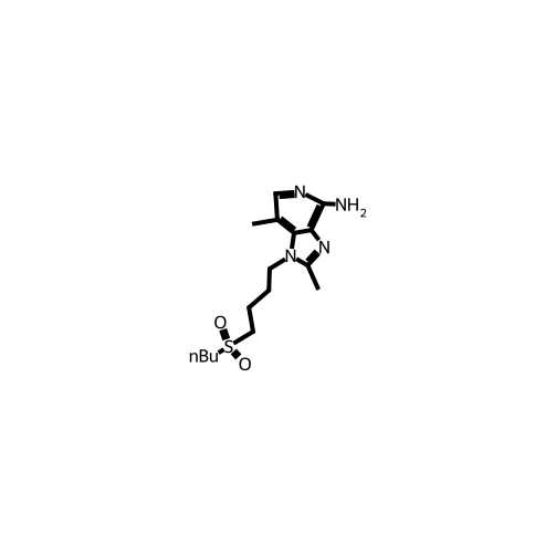 CCCCS(=O)(=O)CCCCn1c(C)nc2c(N)ncc(C)c21